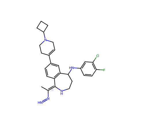 C/C(N=N)=C1/NCCC(Nc2ccc(F)c(Cl)c2)c2cc(C3=CCN(C4CCC4)CC3)ccc21